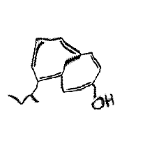 CC(C)c1cccc2ccc(O)cc12